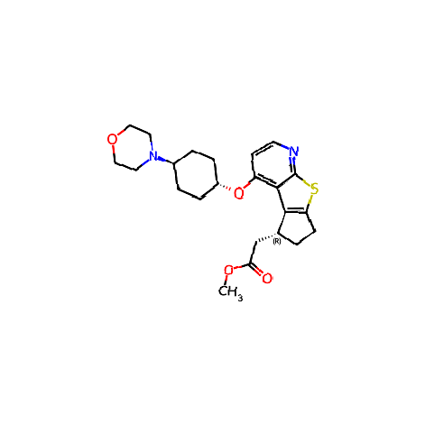 COC(=O)C[C@H]1CCc2sc3nccc(O[C@H]4CC[C@H](N5CCOCC5)CC4)c3c21